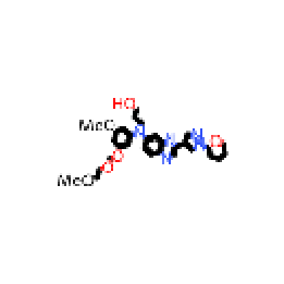 COCCOCOc1cc(OC)cc(N(CCCO)c2ccc3ncc(-c4cnn(C5CCCCO5)c4)nc3c2)c1